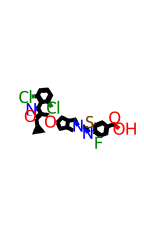 O=C(O)c1cc(F)c2nc(N3CC4CC(OCc5c(-c6c(Cl)cccc6Cl)noc5C5CC5)CC4C3)sc2c1